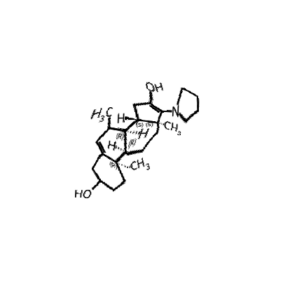 CC1C=C2CC(O)CC[C@]2(C)[C@@H]2CC[C@]3(C)C(N4CCCC4)=C(O)C[C@H]3[C@H]12